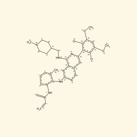 C=CC(=O)Nc1cccc(C)c1Nc1ncc2cc(-c3c(Cl)c(OC)cc(OC)c3Cl)nc(NCC3CCN(C)CC3)c2n1